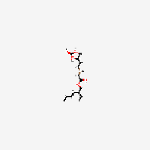 CCCCC(CC)COC(=O)CSCCC1COC(=O)O1